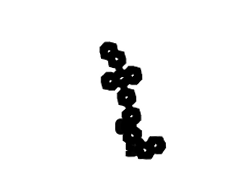 c1ccc2cc(-c3c4ccccc4c(-c4ccc(-c5ccc6c(c5)oc5cc7sc8ccc9ccccc9c8c7cc56)cc4)c4ccccc34)ccc2c1